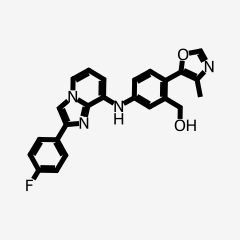 Cc1ncoc1-c1ccc(Nc2cccn3cc(-c4ccc(F)cc4)nc23)cc1CO